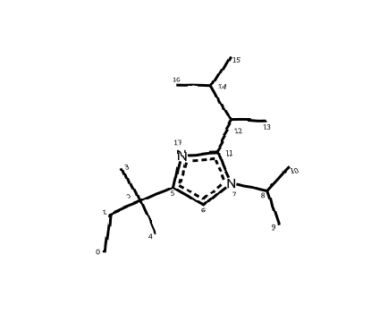 CCC(C)(C)c1cn(C(C)C)c(C(C)C(C)C)n1